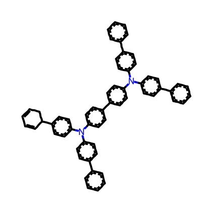 C1=CCC(c2ccc(N(c3ccc(-c4ccccc4)cc3)c3ccc(-c4ccc(N(c5ccc(-c6ccccc6)cc5)c5ccc(-c6ccccc6)cc5)cc4)cc3)cc2)C=C1